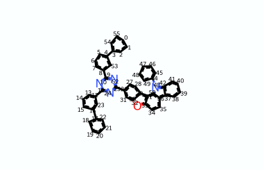 c1ccc(-c2cccc(-c3nc(-c4cccc(-c5ccccc5)c4)nc(-c4ccc5c(c4)oc4ccc6c7ccccc7n(-c7ccccc7)c6c45)n3)c2)cc1